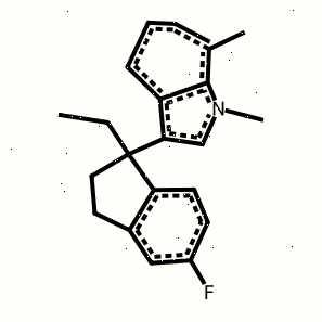 CCC1(c2cn(C)c3c(C)cccc23)CCc2cc(F)ccc21